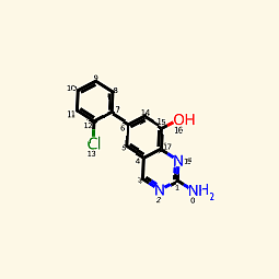 Nc1ncc2cc(-c3ccccc3Cl)cc(O)c2n1